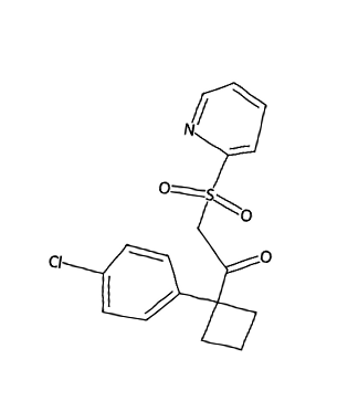 O=C(CS(=O)(=O)c1ccccn1)C1(c2ccc(Cl)cc2)CCC1